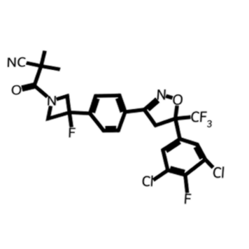 CC(C)(C#N)C(=O)N1CC(F)(c2ccc(C3=NOC(c4cc(Cl)c(F)c(Cl)c4)(C(F)(F)F)C3)cc2)C1